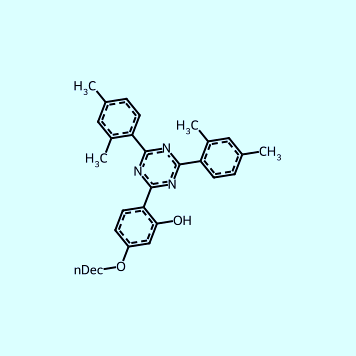 CCCCCCCCCCOc1ccc(-c2nc(-c3ccc(C)cc3C)nc(-c3ccc(C)cc3C)n2)c(O)c1